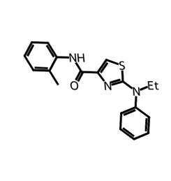 CCN(c1ccccc1)c1nc(C(=O)Nc2ccccc2C)cs1